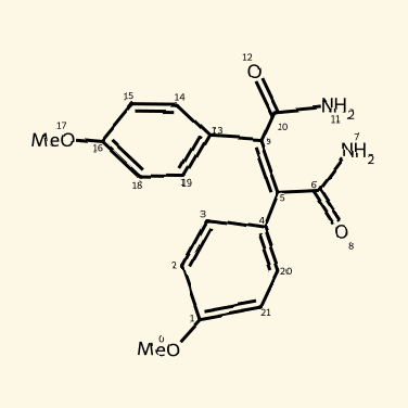 COc1ccc(/C(C(N)=O)=C(/C(N)=O)c2ccc(OC)cc2)cc1